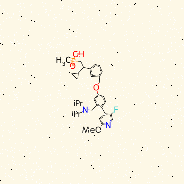 COc1cc(-c2ccc(OCc3cccc(C(CP(C)(=O)O)C4CC4)c3)cc2CN(C(C)C)C(C)C)c(F)cn1